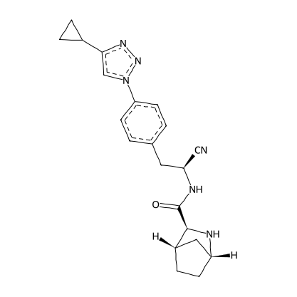 N#C[C@H](Cc1ccc(-n2cc(C3CC3)nn2)cc1)NC(=O)[C@H]1N[C@@H]2CC[C@H]1C2